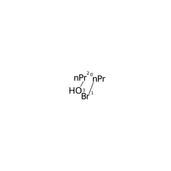 CCCBr.CCCO